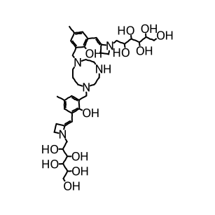 Cc1cc(C=C2CCN2CC(O)C(O)C(O)C(O)CO)c(O)c(CN2CCCN(Cc3cc(C)cc(C=C4CCN4CC(O)C(O)C(O)C(O)CO)c3O)CCNCC2)c1